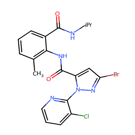 Cc1cccc(C(=O)NC(C)C)c1NC(=O)c1cc(Br)nn1-c1ncccc1Cl